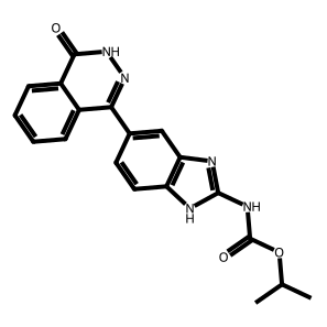 CC(C)OC(=O)Nc1nc2cc(-c3n[nH]c(=O)c4ccccc34)ccc2[nH]1